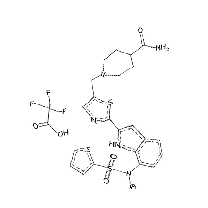 CC(C)N(c1cccc2cc(-c3ncc(CN4CCC(C(N)=O)CC4)s3)[nH]c12)S(=O)(=O)c1cccs1.O=C(O)C(F)(F)F